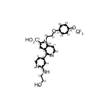 O=C(O)c1cc2c(-c3ccnc(NCCO)c3)nccc2n1CCOc1ccc(OC(F)(F)F)cc1